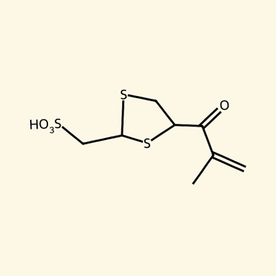 C=C(C)C(=O)C1CSC(CS(=O)(=O)O)S1